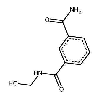 NC(=O)c1cccc(C(=O)NCO)c1